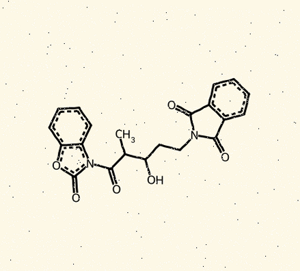 CC(C(=O)n1c(=O)oc2ccccc21)C(O)CCN1C(=O)c2ccccc2C1=O